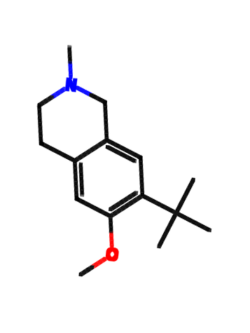 COc1cc2c(cc1C(C)(C)C)CN(C)CC2